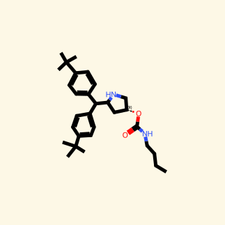 CCCCNC(=O)O[C@H]1CNC(C(c2ccc(C(C)(C)C)cc2)c2ccc(C(C)(C)C)cc2)C1